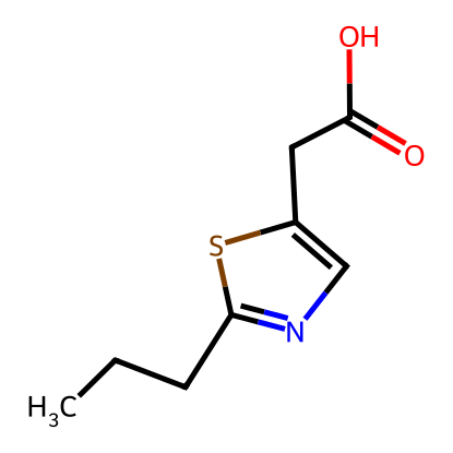 CCCc1ncc(CC(=O)O)s1